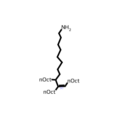 CCCCCCCC/C=C(/CCCCCCCC)C(CCCCCCCC)CCCCCCCCN